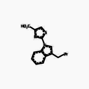 CC(C)Cc1cn(-c2nc(C(=O)O)cs2)c2ccccc12